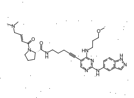 COCCCNc1nc(Nc2ccc3[nH]ncc3c2)ncc1C#CCCCNC(=O)[C@@H]1CCCN1C(=O)C=CCN(C)C